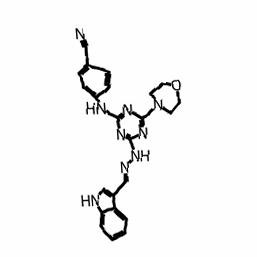 N#Cc1ccc(Nc2nc(N/N=C/c3c[nH]c4ccccc34)nc(N3CCOCC3)n2)cc1